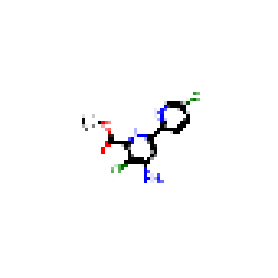 COC(=O)c1nc(-c2ccc(Cl)cn2)cc(N)c1Cl